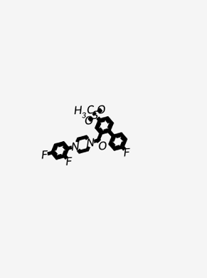 CS(=O)(=O)c1ccc(-c2ccc(F)cc2)c(C(=O)N2CCN(c3ccc(F)cc3F)CC2)c1